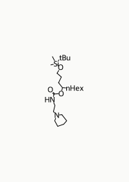 CCCCCCC(CCCO[Si](C)(C)C(C)(C)C)OC(=O)NCCN1CCCCC1